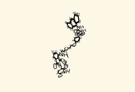 O=C1CCC(N2C(=O)c3cccc(NCCOCCOc4ccc(S(=O)(=O)NC(=O)Nc5c6c(cc7c5CCC7)CCC6)cc4)c3C2=O)C(=O)N1